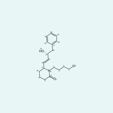 [O]CCCCN1C(=O)CCCC1/C=C/[C@H](O)Cc1ccccc1